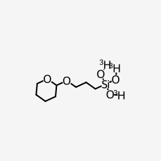 [3H]O[Si](CCCOC1CCCCO1)(O[3H])O[3H]